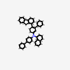 C1=C(N(c2ccc(-c3ccccc3)cc2)c2cccc3ccccc23)CCC(c2cccc3c2Cc2ccccc2-3)=C1c1ccccc1